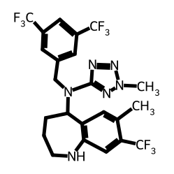 Cc1cc2c(cc1C(F)(F)F)NCCCC2N(Cc1cc(C(F)(F)F)cc(C(F)(F)F)c1)c1nnn(C)n1